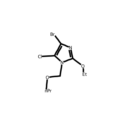 CCCOCn1c(OCC)nc(Br)c1Cl